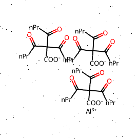 CCCC(=O)C(C(=O)[O-])(C(=O)CCC)C(=O)CCC.CCCC(=O)C(C(=O)[O-])(C(=O)CCC)C(=O)CCC.CCCC(=O)C(C(=O)[O-])(C(=O)CCC)C(=O)CCC.[Al+3]